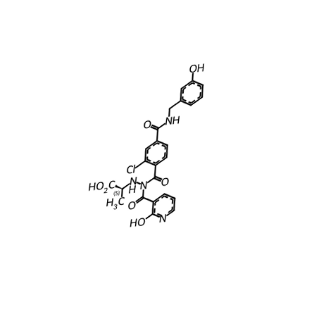 C[C@H](NN(C(=O)c1ccc(C(=O)NCc2cccc(O)c2)cc1Cl)C(=O)c1cccnc1O)C(=O)O